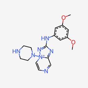 COc1cc(NC2=N[N+]3(N4CCNCC4)C=CN=CC3=N2)cc(OC)c1